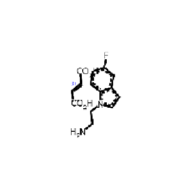 NCCn1ccc2cc(F)ccc21.O=C(O)/C=C/C(=O)O